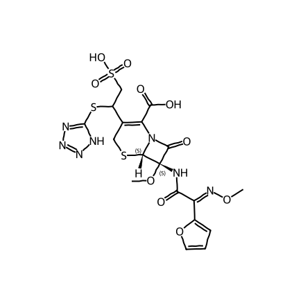 CON=C(C(=O)N[C@]1(OC)C(=O)N2C(C(=O)O)=C(C(CS(=O)(=O)O)Sc3nnn[nH]3)CS[C@H]21)c1ccco1